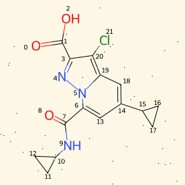 O=C(O)c1nn2c(C(=O)NC3CC3)cc(C3CC3)cc2c1Cl